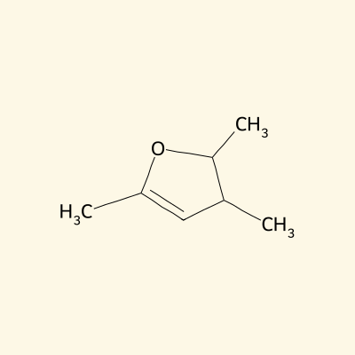 CC1=CC(C)C(C)O1